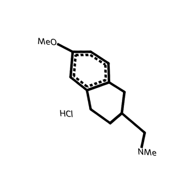 CNCC1CCc2cc(OC)ccc2C1.Cl